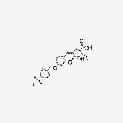 CCCC(=CC(=Cc1ccc(OCc2ccc(C(F)(F)F)cc2)cc1)C(=O)O)C(=O)O